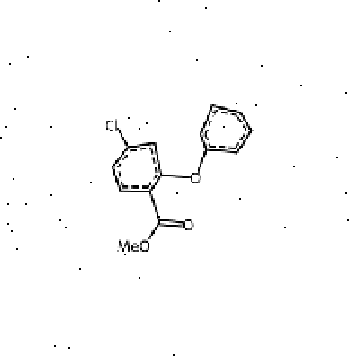 COC(=O)c1ccc(Cl)cc1Oc1ccccc1